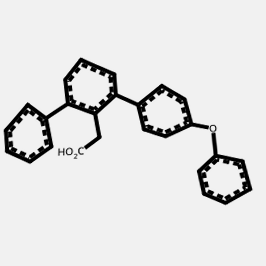 O=C(O)Cc1c(-c2ccccc2)cccc1-c1ccc(Oc2ccccc2)cc1